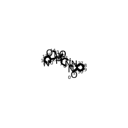 COc1nc(N2CCC(F)(C(=O)N3CCOc4ccncc4C3)CC2)nc2ccccc12